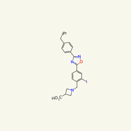 CC(C)Cc1ccc(-c2noc(-c3ccc(CN4CC(C(=O)O)C4)c(I)c3)n2)cc1